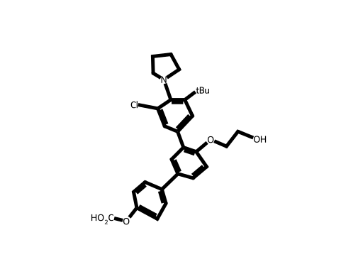 CC(C)(C)c1cc(-c2cc(-c3ccc(OC(=O)O)cc3)ccc2OCCO)cc(Cl)c1N1CCCC1